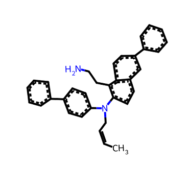 C/C=C\CN(c1ccc(-c2ccccc2)cc1)c1ccc2cc(-c3ccccc3)ccc2c1CCN